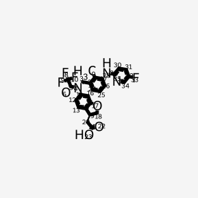 Cc1c(CN(C(=O)C(F)(F)F)c2ccc3c(c2)OC[C@H]3CC(=O)O)cccc1Nc1ccc(F)cn1